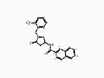 O=C(NC1CC(=O)N(Cc2ccccc2C(F)(F)F)C1)c1ccc2ccccc2n1